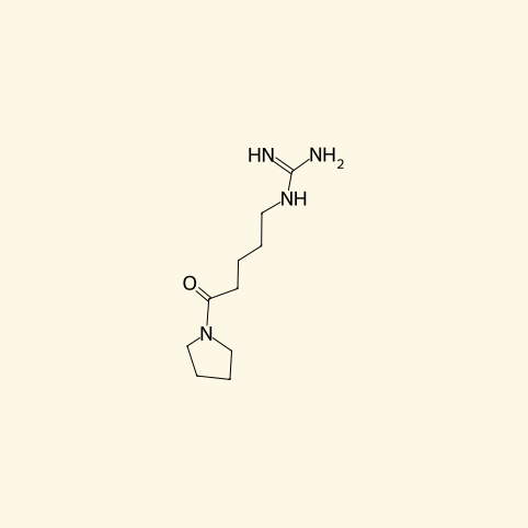 N=C(N)NCCCCC(=O)N1CCCC1